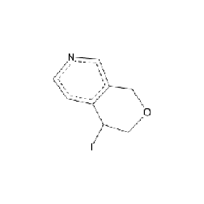 IC1COCc2cnccc21